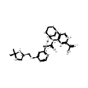 CC1(C)OC[C@H](COc2ccnc(NC(=O)N3c4nc(C(=O)O)ncc4N4CCC[C@H]3C4)c2)O1